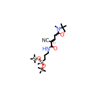 CN1/C(=C/C=C(\C#N)C(=O)NCCC[Si](C)(O[Si](C)(C)C)O[Si](C)(C)C)OCC1(C)C